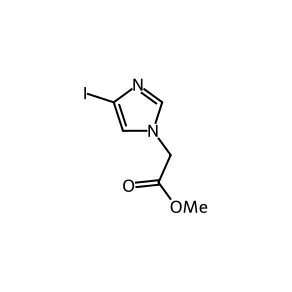 COC(=O)Cn1cnc(I)c1